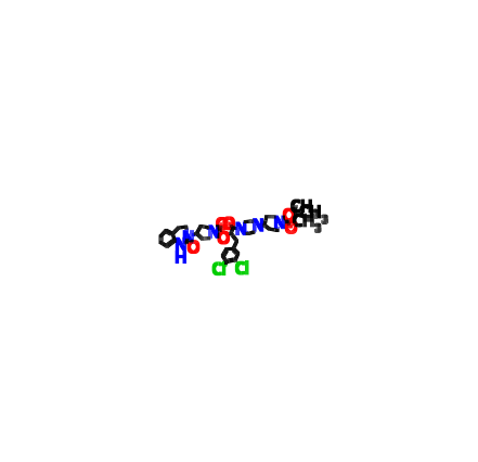 CC(C)(C)OC(=O)N1CCC(N2CCN(C(=O)C(Cc3ccc(Cl)c(Cl)c3)OC(=O)N3CCC(N4CCc5ccccc5NC4=O)CC3)CC2)CC1